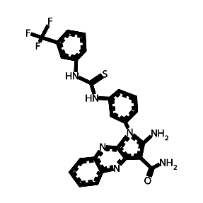 NC(=O)c1c(N)n(-c2cccc(NC(=S)Nc3cccc(C(F)(F)F)c3)c2)c2nc3ccccc3nc12